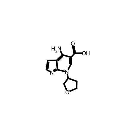 Nc1c(C(=O)O)cn(C2CCOC2)c2nccc1-2